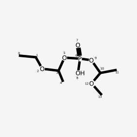 CCOC(C)OP(=O)(O)OC(C)OC